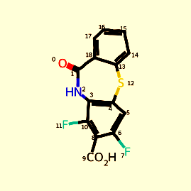 O=C1Nc2c(cc(F)c(C(=O)O)c2F)Sc2ccccc21